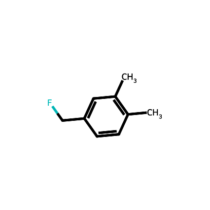 Cc1ccc(CF)cc1C